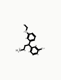 CCOc1cccc(C(CCN)c2cccc(F)c2)c1